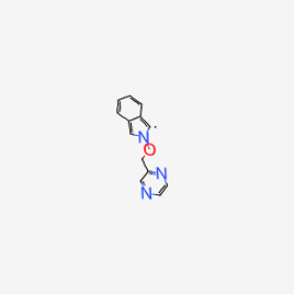 [c]1c2ccccc2cn1OCc1cnccn1